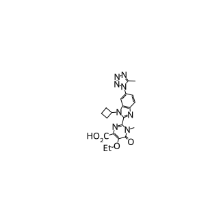 CCOc1c(C(=O)O)nc(-c2nc3ccc(-n4nnnc4C)cc3n2C2CCC2)n(C)c1=O